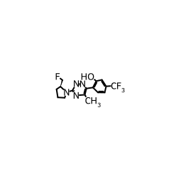 Cc1nc(N2CCC[C@H]2CF)nnc1-c1ccc(C(F)(F)F)cc1O